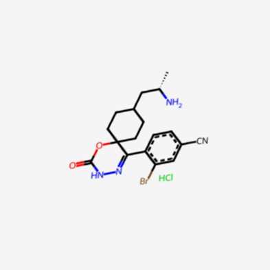 C[C@H](N)CC1CCC2(CC1)OC(=O)NN=C2c1ccc(C#N)cc1Br.Cl